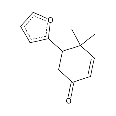 CC1(C)C=CC(=O)CC1c1ccco1